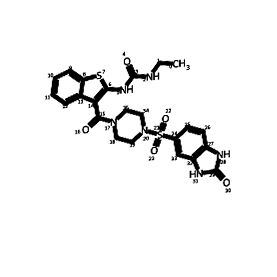 CCNC(=O)Nc1sc2ccccc2c1C(=O)N1CCN(S(=O)(=O)c2ccc3[nH]c(=O)[nH]c3c2)CC1